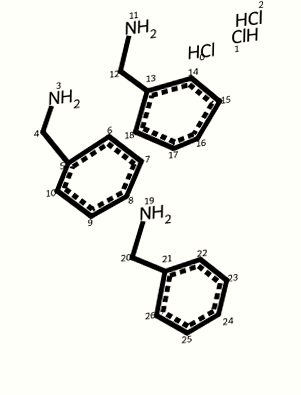 Cl.Cl.Cl.NCc1ccccc1.NCc1ccccc1.NCc1ccccc1